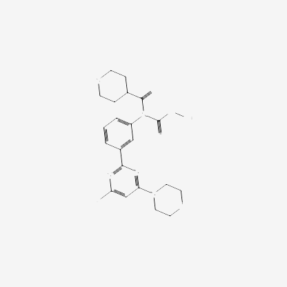 CC(C)(C)OC(=O)N(C(=O)C1CCNCC1)c1cccc(-c2nc(Br)cc(N3CCOCC3)n2)c1